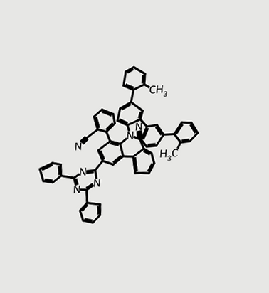 Cc1ccccc1-c1ccc2c(c1)c1cc(-c3ccccc3C)ccc1n2-c1c(-c2ccccc2C#N)cc(-c2nc(-c3ccccc3)nc(-c3ccccc3)n2)cc1-c1ccccc1C#N